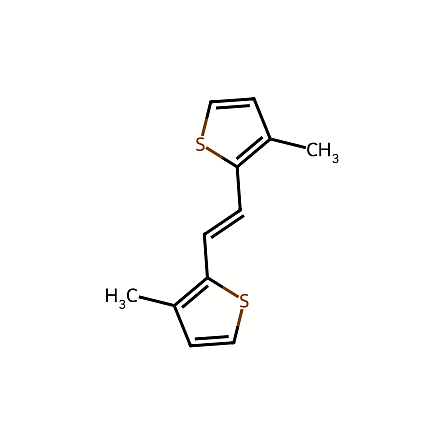 Cc1ccsc1C=Cc1sccc1C